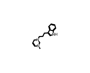 CN1C=CCN(CCCc2c[nH]c3ccccc23)C1